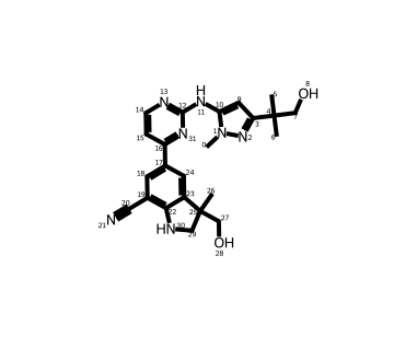 Cn1nc(C(C)(C)CO)cc1Nc1nccc(-c2cc(C#N)c3c(c2)C(C)(CO)CN3)n1